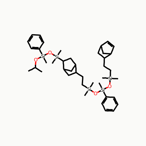 CC(C)O[Si](C)(O[Si](C)(C)C1CC2CC1CC2CC[Si](C)(C)O[Si](C)(O[Si](C)(C)CCC1CC2C=CC1C2)c1ccccc1)c1ccccc1